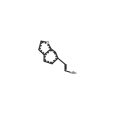 [CH2]CCCC=Cc1ccc2ccoc2c1